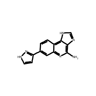 Nc1nc2cc(-c3cc[nH]n3)ccc2c2[nH]cnc12